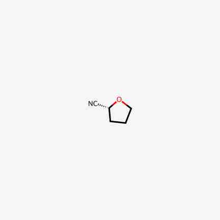 N#C[C@H]1CCCO1